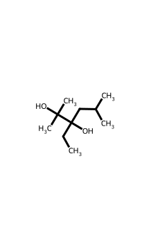 CCC(O)(CC(C)C)C(C)(C)O